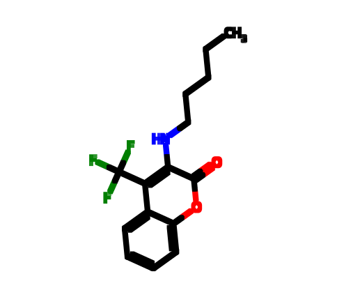 CCCCCNc1c(C(F)(F)F)c2ccccc2oc1=O